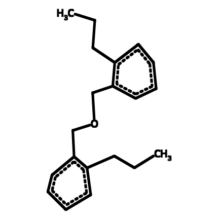 CCCc1ccccc1COCc1ccccc1CCC